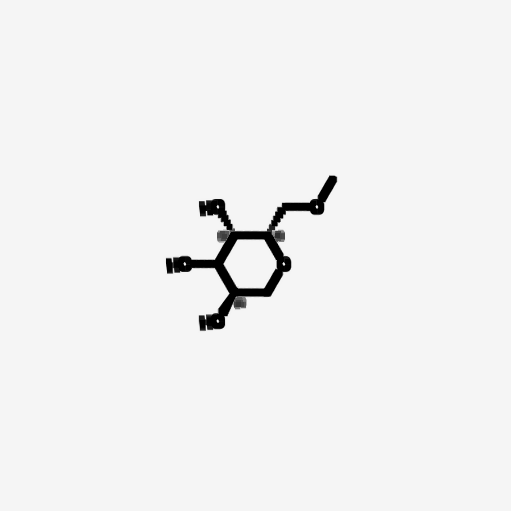 COC[C@@H]1OC[C@@H](O)C(O)[C@@H]1O